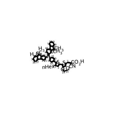 CCCCCCc1cc(-c2sc(/C=C(\C#N)C(=O)O)c3c2OCCO3)sc1-c1ccc(N(c2ccc3c(c2)C(C)(C)c2ccccc2-3)c2ccc3c(c2)C(C)(C)c2ccccc2-3)cc1